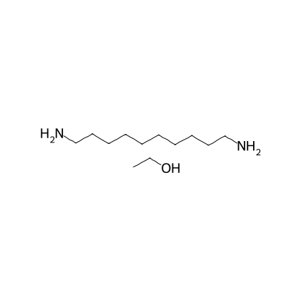 CCO.NCCCCCCCCCCN